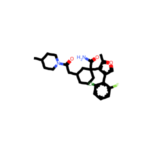 Cc1occ(-c2c(F)cccc2Cl)c1C1(C(N)=O)CCCC(CC(=O)N2CCC(C)CC2)C1